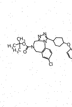 CC(C)(C)OC(=O)N1Cc2cc(Cl)ccc2-n2c(nnc2C2CCC(Oc3ccncn3)CC2)C1